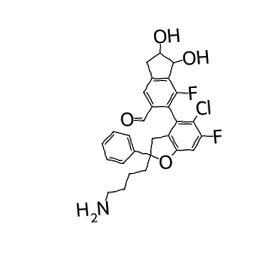 NCCCCC1(c2ccccc2)Cc2c(cc(F)c(Cl)c2-c2c(C=O)cc3c(c2F)C(O)C(O)C3)O1